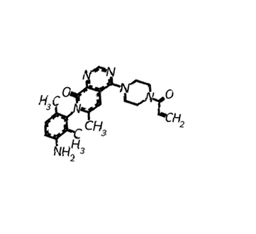 C=CC(=O)N1CCN(c2ncnc3c(=O)n(-c4c(C)ccc(N)c4C)c(C)cc23)CC1